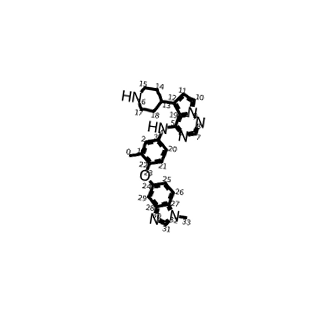 Cc1cc(Nc2ncnn3ccc(C4CCNCC4)c23)ccc1Oc1ccc2c(c1)ncn2C